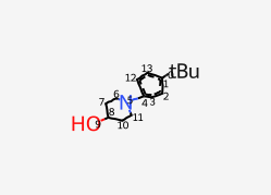 CC(C)(C)c1ccc(N2CCC(O)CC2)cc1